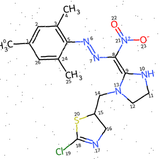 Cc1cc(C)c(/N=N/C(=C2/NCCN2CC2CN=C(Cl)S2)[N+](=O)[O-])c(C)c1